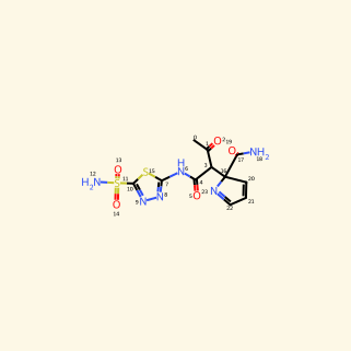 CC(=O)C(C(=O)Nc1nnc(S(N)(=O)=O)s1)C1(C(N)=O)C=CC=N1